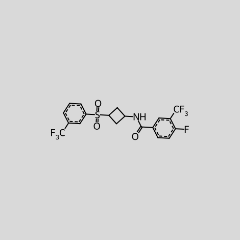 O=C(NC1CC(S(=O)(=O)c2cccc(C(F)(F)F)c2)C1)c1ccc(F)c(C(F)(F)F)c1